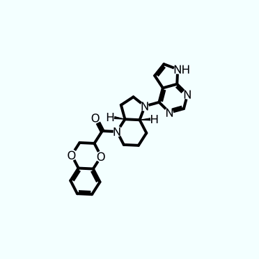 O=C(C1COc2ccccc2O1)N1CCC[C@@H]2[C@H]1CCN2c1ncnc2[nH]ccc12